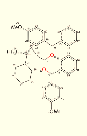 COc1ccc(C(OC(OC(c2ccccc2)c2ccc(OC)cc2)C2CC2(C(=O)O)C2CCCCC2)c2ccccc2)cc1